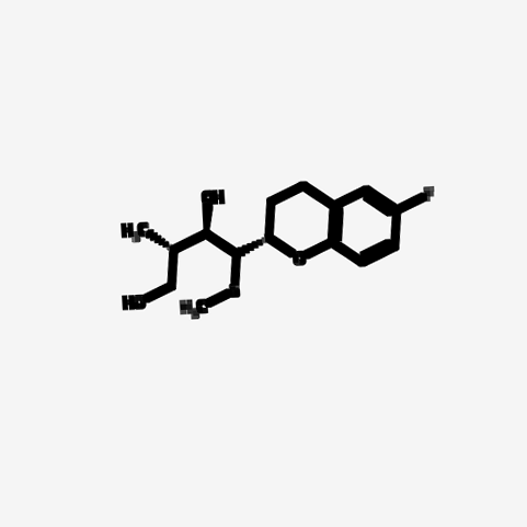 CSC([C@@H]1CCc2cc(F)ccc2O1)[C@H](O)[C@@H](C)CO